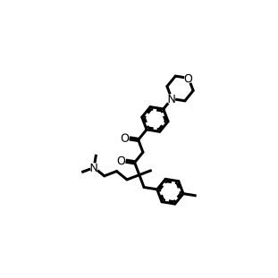 Cc1ccc(CC(C)(CCCN(C)C)C(=O)CC(=O)c2ccc(N3CCOCC3)cc2)cc1